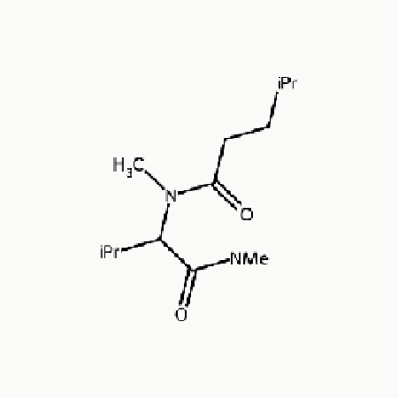 CNC(=O)C(C(C)C)N(C)C(=O)CCC(C)C